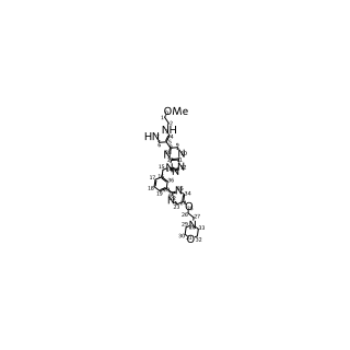 COCCN/C=C(\C=N)c1cnc2nnn(Cc3cccc(-c4ncc(OCCN5CCOCC5)cn4)c3)c2n1